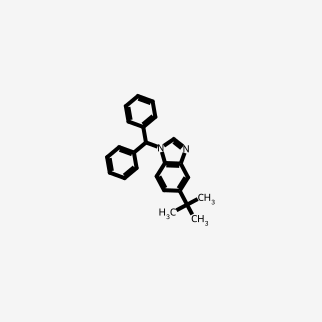 CC(C)(C)c1ccc2c(c1)ncn2C(c1ccccc1)c1ccccc1